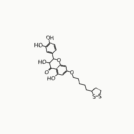 O=C1c2c(O)cc(OCCCCCC3CCSS3)cc2OC(c2ccc(O)c(O)c2)C1O